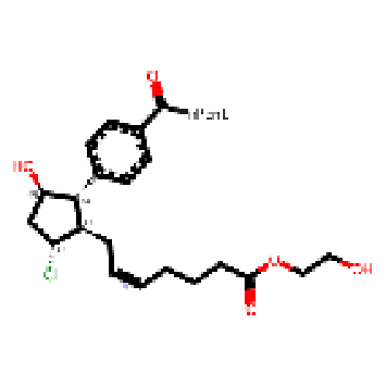 CCCCCC(=O)c1ccc([C@@H]2[C@@H](C/C=C\CCCC(=O)OCCO)[C@H](Cl)C[C@H]2O)cc1